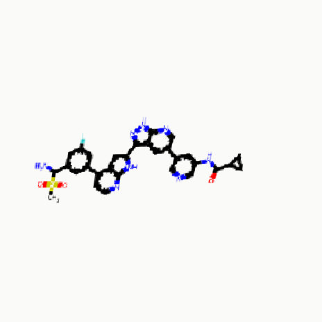 CS(=O)(=O)C(N)c1cc(F)cc(-c2ccnc3[nH]c(-c4n[nH]c5ncc(-c6cncc(NC(=O)C7CC7)c6)cc45)cc23)c1